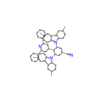 Cc1ccc2c(c1)c1cc(C)ccc1n2-c1cc(C#N)cc(-n2c3ccc(C)cc3c3cc(C)ccc32)c1-c1cc(-c2ccccc2)nc(-c2ccccc2)c1